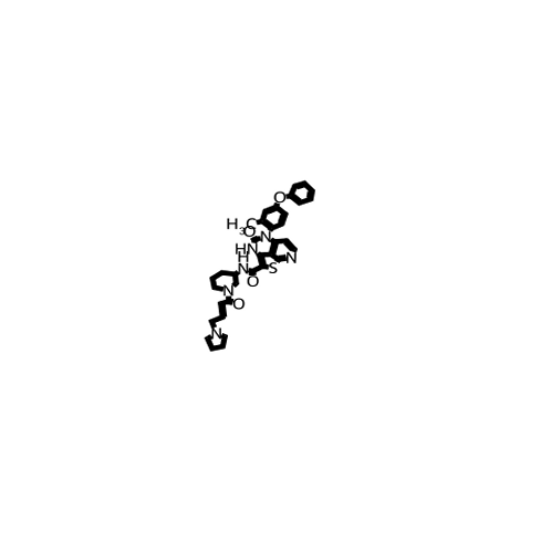 Cc1cc(Oc2ccccc2)ccc1N1C(=O)Nc2c(C(=O)NC3CCCN(C(=O)/C=C/CN4CCCC4)C3)sc3nccc1c23